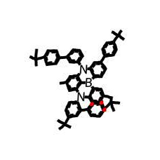 Cc1cc2c3c(c1)N(c1ccc(C(C)(C)C)cc1-c1ccccc1)c1cc4c(cc1B3c1ccc(-c3ccc(C(C)(C)C)cc3)cc1N2c1cccc(-c2ccc(C(C)(C)C)cc2)c1)CC(C)(C)C4